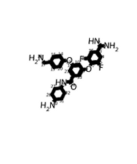 N=C(N)c1cc(F)c(Oc2cc(Oc3ccc(CN)cc3)cc(C(=O)NC3CCC(N)CC3)c2)c(F)c1